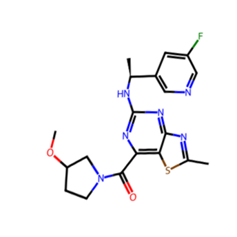 COC1CCN(C(=O)c2nc(N[C@@H](C)c3cncc(F)c3)nc3nc(C)sc23)C1